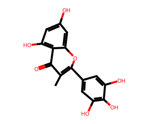 Cc1c(-c2cc(O)c(O)c(O)c2)oc2cc(O)cc(O)c2c1=O